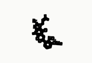 COc1cccc(C(=O)Cn2c(=O)c3c(nc(Br)n3CC=C(C)C)n(C)c2=O)c1[N+](=O)[O-]